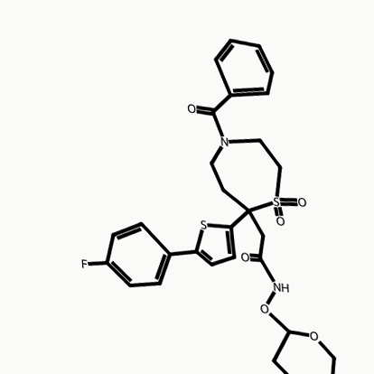 O=C(CC1(c2ccc(-c3ccc(F)cc3)s2)CCN(C(=O)c2ccccc2)CCS1(=O)=O)NOC1CCCCO1